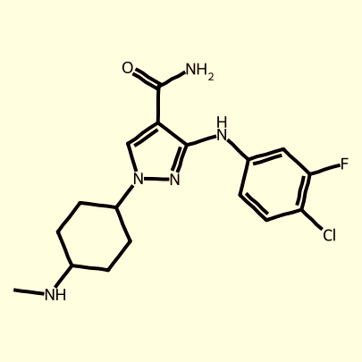 CNC1CCC(n2cc(C(N)=O)c(Nc3ccc(Cl)c(F)c3)n2)CC1